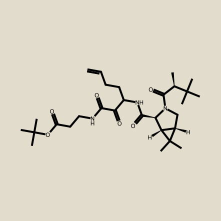 C=CCCC(NC(=O)[C@@H]1[C@@H]2[C@H](CN1C(=O)[C@@H](C)C(C)(C)C)C2(C)C)C(=O)C(=O)NCCC(=O)OC(C)(C)C